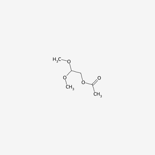 COC(COC(C)=O)OC